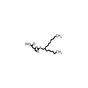 CCCCCCCCC(CCCCCC)CSc1nc(CC(=O)O)cs1